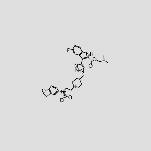 CC(C)COC(=O)c1[nH]c2ccc(F)cc2c1-c1cn(CC2CCN(CCN(c3ccc4c(c3)CCO4)[SH](=O)=O)CC2)nn1